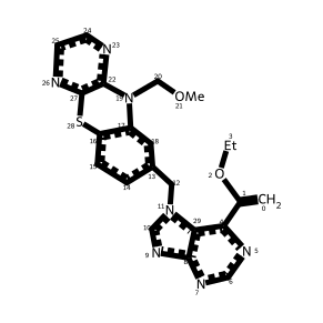 C=C(OCC)c1ncnc2ncn(Cc3ccc4c(c3)N(COC)c3nccnc3S4)c12